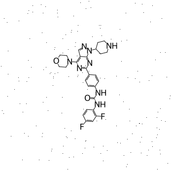 O=C(Nc1ccc(-c2nc(N3CCOCC3)c3cnn(C4CCNCC4)c3n2)cc1)Nc1ccc(F)cc1F